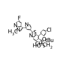 C=C(O)[C@@H](OC(C)(C)C)c1c(C)cc2nc(-c3ccnc(-c4cn(C)c5ncc(F)cc45)c3)sc2c1-c1ccc(Cl)cc1